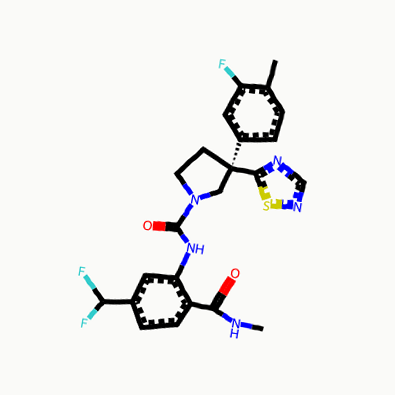 CNC(=O)c1ccc(C(F)F)cc1NC(=O)N1CC[C@@](c2ccc(C)c(F)c2)(c2ncns2)C1